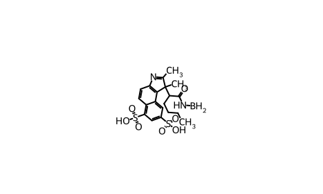 BNC(=O)C(CCCC)C1(C)C(C)=Nc2ccc3c(S(=O)(=O)O)cc(S(=O)(=O)O)cc3c21